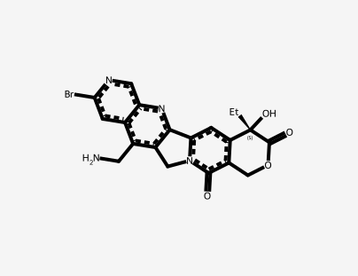 CC[C@@]1(O)C(=O)OCc2c1cc1n(c2=O)Cc2c-1nc1cnc(Br)cc1c2CN